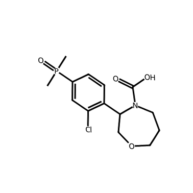 CP(C)(=O)c1ccc(C2COCCCN2C(=O)O)c(Cl)c1